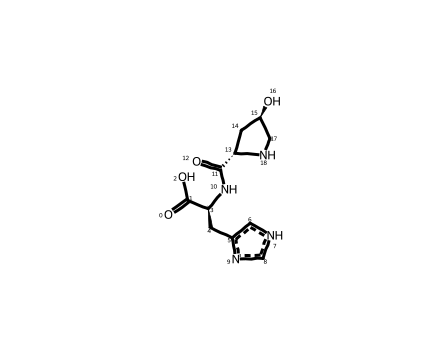 O=C(O)[C@H](Cc1c[nH]cn1)NC(=O)[C@@H]1C[C@@H](O)CN1